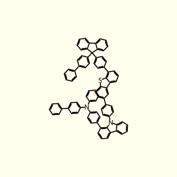 c1ccc(-c2ccc(N(c3ccccc3)c3ccc(-c4cccc5c6ccccc6n(-c6ccc(-c7ccc8sc9c(-c%10ccc(C%11(c%12ccc(-c%13ccccc%13)cc%12)c%12ccccc%12-c%12ccccc%12%11)cc%10)cccc9c8c7)cc6)c45)cc3)cc2)cc1